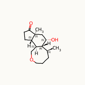 C[C@H]1CCCOC[C@@H]2[C@@H]1[C@@H](O)C[C@]1(C)C(=O)CC[C@@H]21